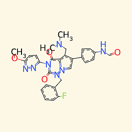 COc1ccc(-n2c(=O)c3c(CN(C)C)c(-c4ccc(NC=O)cc4)cn3n(Cc3ccccc3F)c2=O)nn1